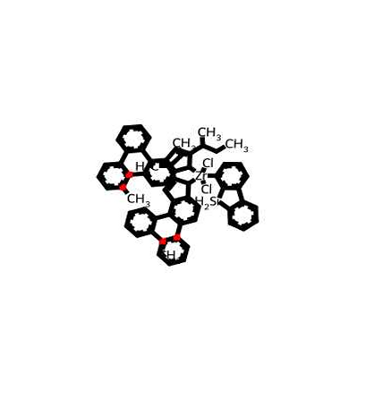 CCCc1ccc2c(c1-c1ccccc1-c1ccccc1)C=C(C(C)CC)[CH]2[Zr]([Cl])([Cl])([c]1cccc2c1[SiH2]c1ccccc1-2)[CH]1C(C(C)CC)=Cc2c1ccc(CCC)c2-c1ccccc1-c1ccccc1